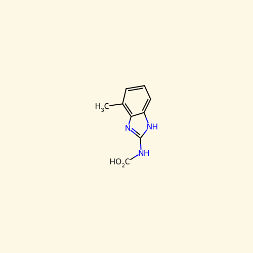 Cc1cccc2[nH]c(NC(=O)O)nc12